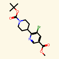 COC(=O)c1cnc(C2CCN(C(=O)OC(C)(C)C)CC2)c(Br)c1